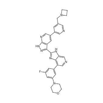 Fc1cc(-c2cncc3[nH]c(-c4n[nH]c5ncc(-c6cncc(CN7CCC7)c6)cc45)nc23)cc(N2CCOCC2)c1